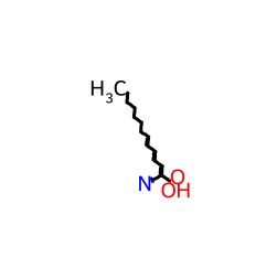 CCCCCCC/C=C/C=C/C=C(\C#N)C(=O)O